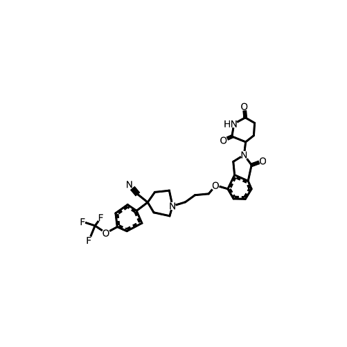 N#CC1(c2ccc(OC(F)(F)F)cc2)CCN(CCCOc2cccc3c2CN(C2CCC(=O)NC2=O)C3=O)CC1